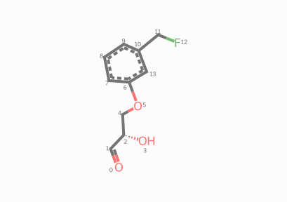 O=C[C@@H](O)COc1cccc(CF)c1